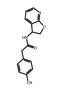 N#Cc1ccc(CC(=O)NC2COc3ncccc32)cc1